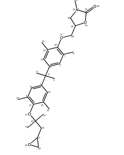 Cc1cc(C(C)(C)c2cc(C)c(OC(C)(C)CC3CO3)c(C)c2)cc(C)c1OCC1CN(C)C(=O)O1